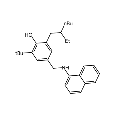 CCCCC(CC)Cc1cc(CNc2cccc3ccccc23)cc(C(C)(C)C)c1O